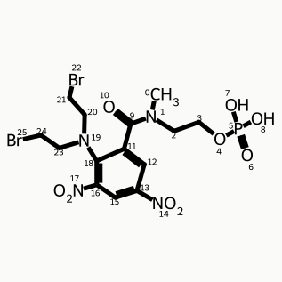 CN(CCOP(=O)(O)O)C(=O)c1cc([N+](=O)[O-])cc([N+](=O)[O-])c1N(CCBr)CCBr